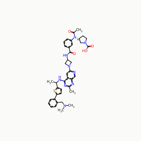 CC(=O)N(c1cccc(C(=O)NC2CN(c3cc4c(NC(C)c5ccc(-c6ccccc6CN(C)C)s5)nc(C)nc4cn3)C2)c1)[C@@H]1CCN(C(=O)O)C1